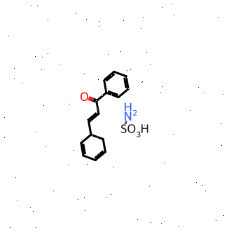 NS(=O)(=O)O.O=C(C=CC1C=CC=CC1)c1ccccc1